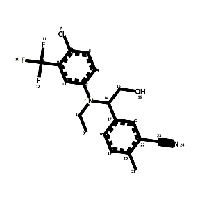 CCN(c1ccc(Cl)c(C(F)(F)F)c1)C(CO)c1ccc(C)c(C#N)c1